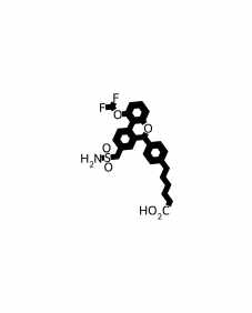 NS(=O)(=O)Cc1ccc2c(c1)C(c1ccc(CCCCCC(=O)O)cc1)Oc1cccc(OC(F)F)c1-2